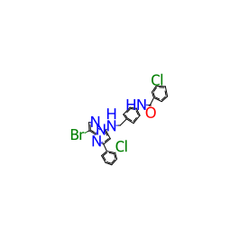 O=C(Nc1ccc(CNc2cc(-c3ccccc3Cl)nc3c(Br)cnn23)cc1)c1cccc(Cl)c1